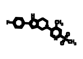 Cc1cc(S(C)(=O)=O)ncc1N1CCc2[nH]c(-c3ccc(F)cc3)cc2C1